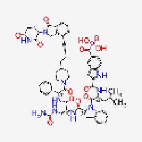 CC(C)C[C@H](NC(=O)c1cc2cc(C(=O)P(=O)(O)O)ccc2[nH]1)C(=O)N1c2ccccc2C[C@H]1C(=O)N[C@@H](CNC(N)=O)C(=O)N[C@H](C(=O)N1CCC(CCC#Cc2cccc3c2CN(C2CCC(=O)NC2=O)C3=O)CC1)c1ccccc1